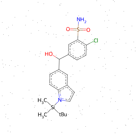 CC(C)(C)[Si](C)(C)n1ccc2cc(C(O)c3ccc(Cl)c(S(N)(=O)=O)c3)ccc21